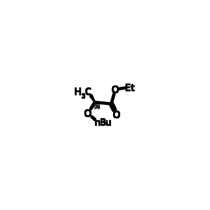 CCCCO[C@@H](C)C(=O)OCC